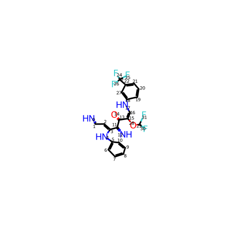 N=C/C=C(\Nc1ccccc1)C(=N)C(=O)/C(=C\Nc1cccc(C(F)(F)F)c1)OC(F)F